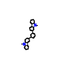 Cn1c2ccccc2c2cc(-c3cccc(-c4ccc5c6ccccc6n(C)c5c4)c3)ccc21